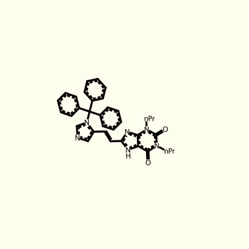 CCCn1c(=O)c2[nH]c(C=Cc3cncn3C(c3ccccc3)(c3ccccc3)c3ccccc3)nc2n(CCC)c1=O